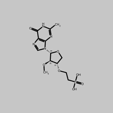 CO[C@@H]1[C@@H](OCCP(=O)(O)O)CO[C@H]1n1cnc2c(=O)[nH]c(C)nc21